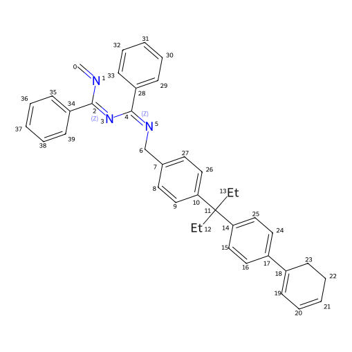 C=N/C(=N\C(=N/Cc1ccc(C(CC)(CC)c2ccc(C3=CC=CCC3)cc2)cc1)c1ccccc1)c1ccccc1